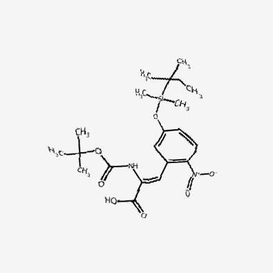 CC(C)(C)OC(=O)NC(=Cc1cc(O[Si](C)(C)C(C)(C)C)ccc1[N+](=O)[O-])C(=O)O